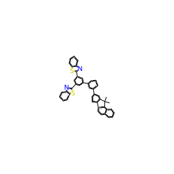 CC1(C)c2cc(-c3cccc(-c4cc(-c5nc6ccccc6s5)cc(-c5nc6ccccc6s5)c4)c3)ccc2-c2ccc3ccccc3c21